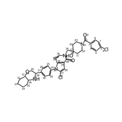 O=C(c1ccc(Cl)cc1)N1CCC(O)(Cn2cnc3c(cc(Cl)n3-c3ccc(C4COC5CCCCC5N4)cc3)c2=O)CC1